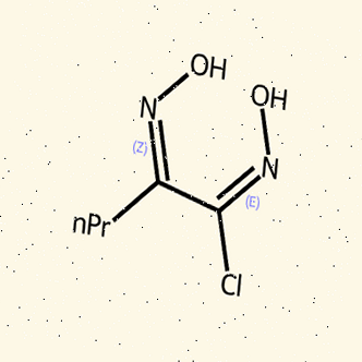 CCCC(=N/O)/C(Cl)=N\O